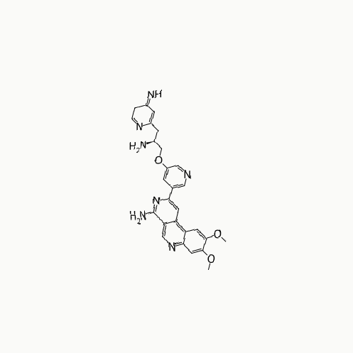 COc1cc2ncc3c(N)nc(-c4cncc(OC[C@@H](N)CC5=CC(=N)CC=N5)c4)cc3c2cc1OC